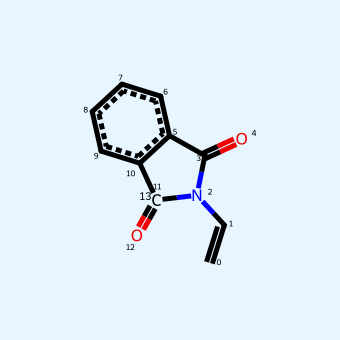 C=CN1C(=O)c2ccccc2[13C]1=O